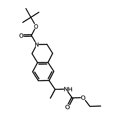 CCOC(=O)NC(C)c1ccc2c(c1)CCN(C(=O)OC(C)(C)C)C2